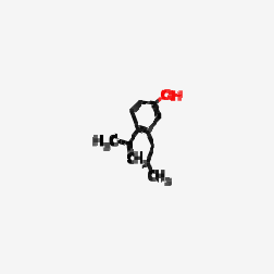 C=C(C)c1ccc(O)cc1CCC